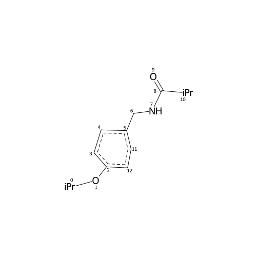 CC(C)Oc1ccc(CNC(=O)C(C)C)cc1